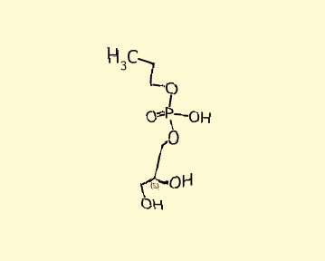 CCCOP(=O)(O)OC[C@@H](O)CO